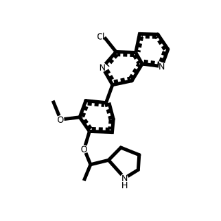 COc1cc(-c2cc3ncccc3c(Cl)n2)ccc1OC(C)C1CCCN1